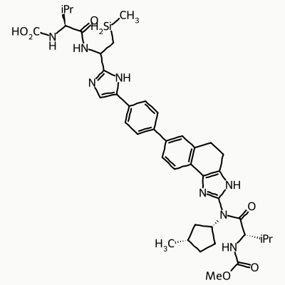 COC(=O)N[C@H](C(=O)N(c1nc2c([nH]1)CCc1cc(-c3ccc(-c4cnc(C(C[SiH2]C)NC(=O)[C@@H](NC(=O)O)C(C)C)[nH]4)cc3)ccc1-2)[C@@H]1CC[C@H](C)C1)C(C)C